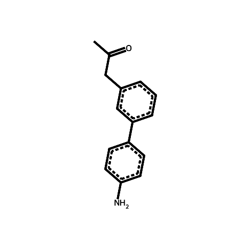 CC(=O)Cc1cccc(-c2ccc(N)cc2)c1